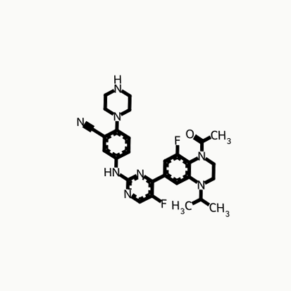 CC(=O)N1CCN(C(C)C)c2cc(-c3nc(Nc4ccc(N5CCNCC5)c(C#N)c4)ncc3F)cc(F)c21